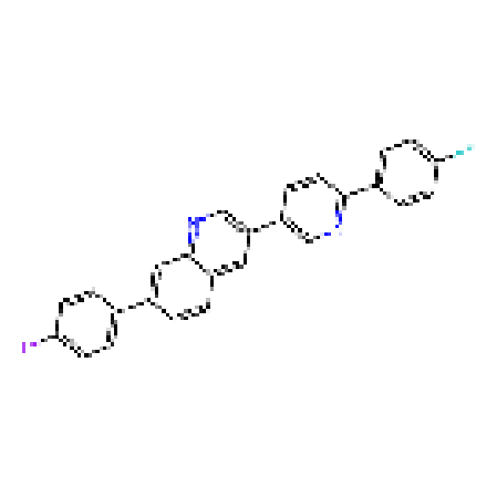 Fc1ccc(-c2ccc(-c3cnc4cc(-c5ccc(I)cc5)ccc4c3)cn2)cc1